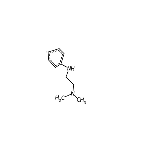 CN(C)CCNc1cc[c]cc1